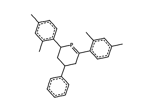 Cc1ccc(C2=PC(c3ccc(C)cc3C)CC(c3ccccc3)C2)c(C)c1